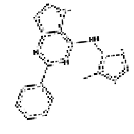 Cc1ncsc1Nc1nc(-c2ccccc2)nc2cc[nH]c12